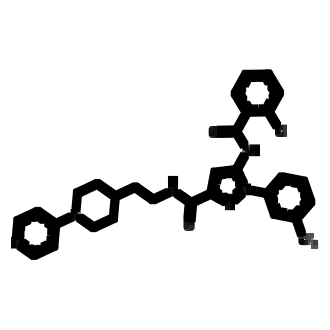 O=C(NCCC1CCN(c2ccncc2)CC1)c1cc(NC(=O)c2ccccc2Cl)n(-c2cccc(C(F)(F)F)c2)n1